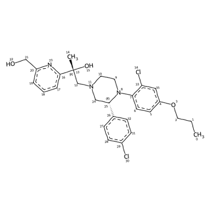 CCCOc1ccc(N2CCN(C[C@@](C)(O)c3cccc(CO)n3)C[C@H]2c2ccc(Cl)cc2)c(Cl)c1